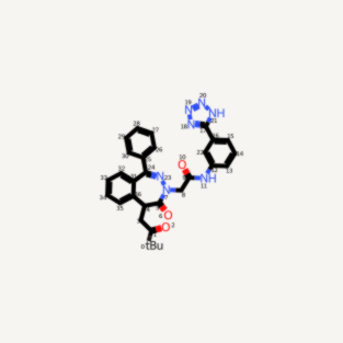 CC(C)(C)C(=O)CC1C(=O)N(CC(=O)Nc2cccc(-c3nnn[nH]3)c2)N=C(c2ccccc2)c2ccccc21